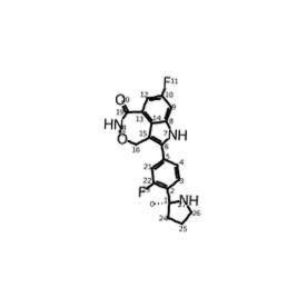 C[C@@]1(c2ccc(-c3[nH]c4cc(F)cc5c4c3CONC5=O)cc2F)CCCN1